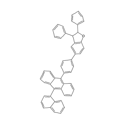 c1ccc(C2Oc3ccc(-c4ccc(-c5c6ccccc6c(-c6cccc7ccccc67)c6ccccc56)cc4)cc3C2c2ccccc2)cc1